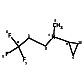 CN(CCC(F)(F)F)C1CC1